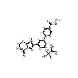 CCCCNC(=O)c1ccc(-c2cc(-c3cc4c([nH]3)CCNC4=O)ccn2)cc1.O=C(O)C(F)(F)F